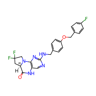 O=C1Nc2cnc(NCc3ccc(OCc4ccc(F)cc4)cc3)nc2N2CC(F)(F)C[C@H]12